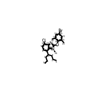 CCCC(CCC)c1ccc(Cl)c2nc(Oc3c(C)cc(Br)cc3C)n(C)c12